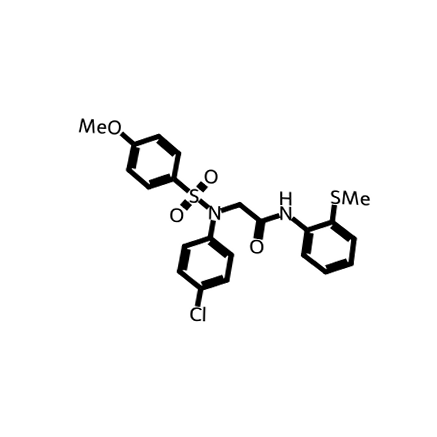 COc1ccc(S(=O)(=O)N(CC(=O)Nc2ccccc2SC)c2ccc(Cl)cc2)cc1